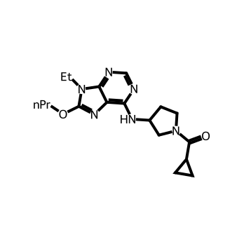 CCCOc1nc2c(NC3CCN(C(=O)C4CC4)C3)ncnc2n1CC